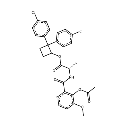 COc1ccnc(C(=O)N[C@@H](C)C(=O)OC2CCC2(c2ccc(Cl)cc2)c2ccc(Cl)cc2)c1OC(C)=O